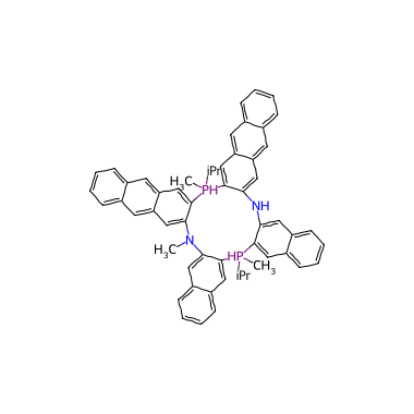 CC(C)[PH]1(C)c2cc3ccccc3cc2Nc2cc3cc4ccccc4cc3cc2[PH](C)(C(C)C)c2cc3cc4ccccc4cc3cc2N(C)c2cc3ccccc3cc21